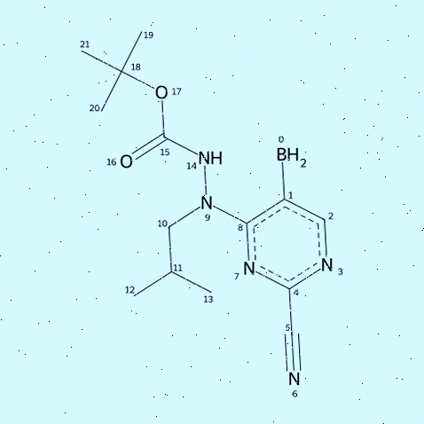 Bc1cnc(C#N)nc1N(CC(C)C)NC(=O)OC(C)(C)C